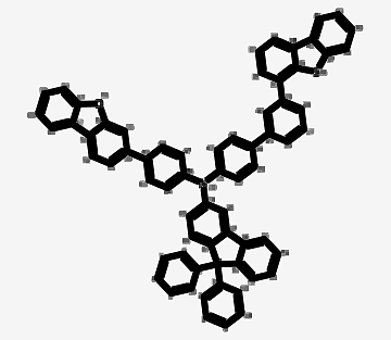 c1ccc(C2(c3ccccc3)c3ccccc3-c3cc(N(c4ccc(-c5cccc(-c6cccc7c6sc6ccccc67)c5)cc4)c4ccc(-c5ccc6c(c5)oc5ccccc56)cc4)ccc32)cc1